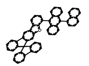 c1ccc2c(c1)-c1ccccc1C21c2ccccc2-c2cc3c(cc21)oc1c(-c2c4ccccc4c(-c4cccc5ccccc45)c4ccccc24)cccc13